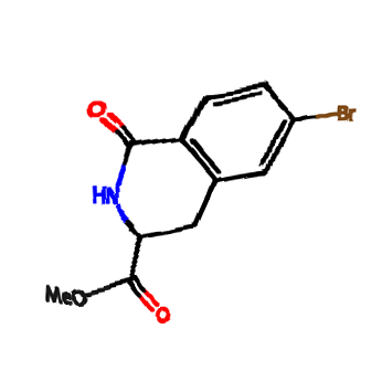 COC(=O)C1Cc2cc(Br)ccc2C(=O)N1